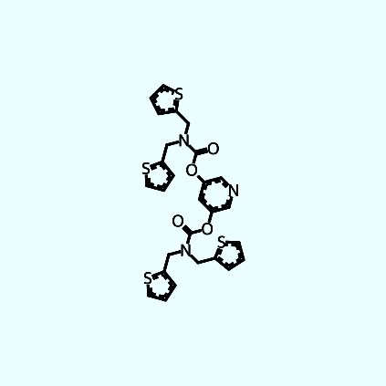 O=C(Oc1cncc(OC(=O)N(Cc2cccs2)Cc2cccs2)c1)N(Cc1cccs1)Cc1cccs1